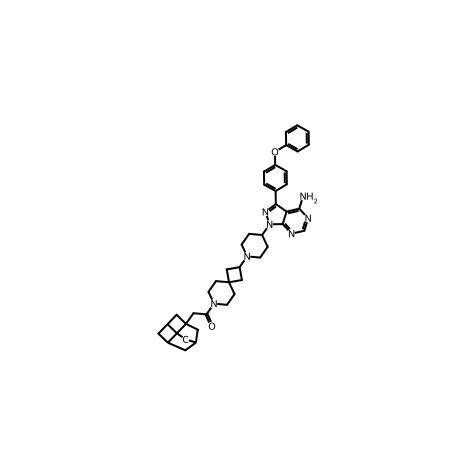 Nc1ncnc2c1c(-c1ccc(Oc3ccccc3)cc1)nn2C1CCN(C2CC3(CCN(C(=O)CC45CC6CC7CC(C4)C75C6)CC3)C2)CC1